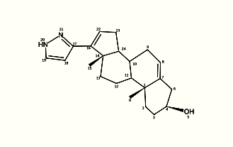 C[C@]12CC[C@H](O)CC1=CCC1C2CC[C@]2(C)C(c3cc[nH]n3)=CCC12